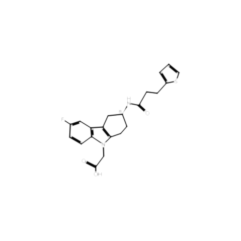 O=C(O)Cn1c2c(c3cc(F)ccc31)C[C@@H](NC(=O)CCc1cccs1)CC2